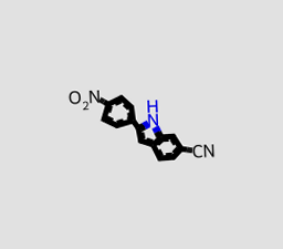 N#Cc1ccc2cc(-c3ccc([N+](=O)[O-])cc3)[nH]c2c1